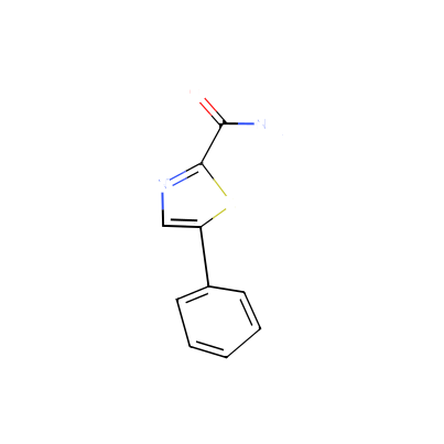 NC(=O)c1ncc(-c2ccccc2)s1